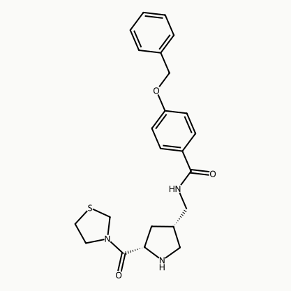 O=C(NC[C@@H]1CN[C@H](C(=O)N2CCSC2)C1)c1ccc(OCc2ccccc2)cc1